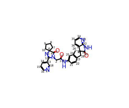 O=C(CN1C(=O)C2(CCCC2)N=C1c1cccnc1)Nc1ccc2c(c1)C[C@@]1(C2)C(=O)Nc2ncccc21